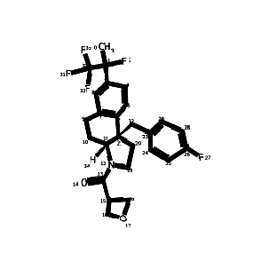 CC(F)(c1ccc2c(c1)CC[C@H]1N(C(=O)C3COC3)CC[C@@]21Cc1ccc(F)cc1)C(F)(F)F